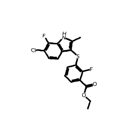 CCOC(=O)c1cccc(Sc2c(C)[nH]c3c(F)c(Cl)ccc23)c1F